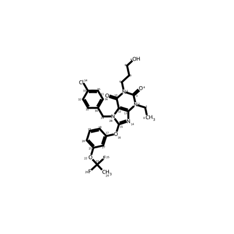 CCn1c(=O)n(CCCO)c(=O)c2c1nc(Oc1cccc(OC(C)(F)F)c1)n2Cc1ccc(Cl)cc1